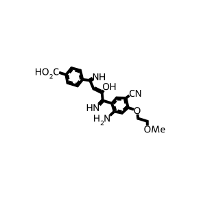 COCCOc1cc(N)c(C(=N)/C(O)=C/C(=N)c2ccc(C(=O)O)cc2)cc1C#N